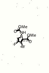 COC(=O)Nn1cc(F)c(Br)c1C(=O)OC